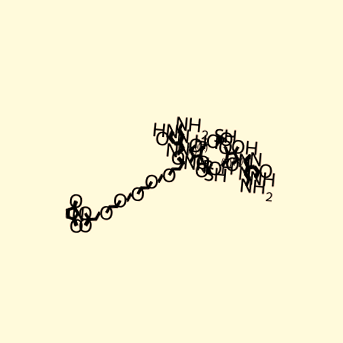 Nc1nc2c(ncn2[C@@H]2O[C@@H]3COP(=O)(S)OC4C(NC(=O)CCOCCOCCOCCOCCOCCC(=O)ON5C(=O)C=CC5=O)[C@H](n5cnc6c(=O)[nH]c(N)nc65)O[C@@H]4COP(=O)(S)OC3C2O)c(=O)[nH]1